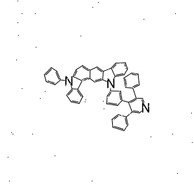 c1ccc(-c2cncc(-c3ccccc3)c2-c2cccc(-n3c4ccccc4c4cc5ccc6c(c5cc43)c3ccccc3n6-c3ccccc3)c2)cc1